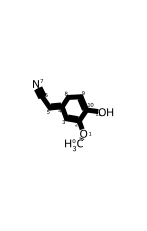 COC1=CC(=CC#N)CC=C1O